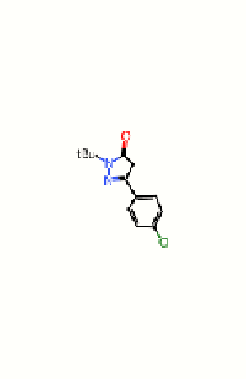 CC(C)(C)N1N=C(c2ccc(Cl)cc2)CC1=O